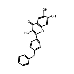 O=c1c(O)c(-c2ccc(Oc3ccccc3)cc2)oc2cc(O)c(O)cc12